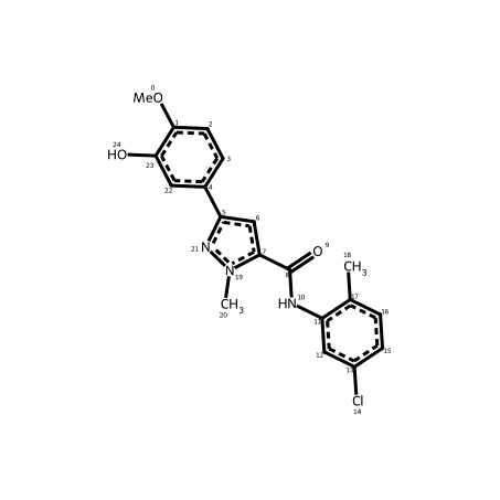 COc1ccc(-c2cc(C(=O)Nc3cc(Cl)ccc3C)n(C)n2)cc1O